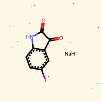 O=C1Nc2ccc(I)cc2C1=O.[NaH]